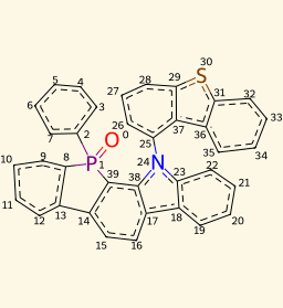 O=P1(c2ccccc2)c2ccccc2-c2ccc3c4ccccc4n(-c4cccc5sc6ccccc6c45)c3c21